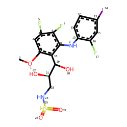 COc1cc(F)c(F)c(Nc2ccc(I)cc2F)c1C(O)[C@H](O)CN[SH](=O)=O